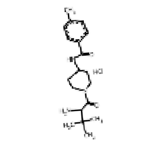 Cc1ccc(C(=O)NC2CCN(C(=O)C(N)C(C)(C)C)CC2)cc1.Cl